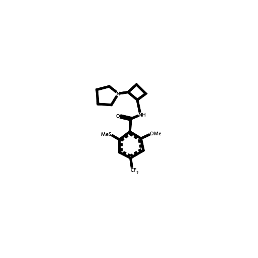 COc1cc(C(F)(F)F)cc(SC)c1C(=O)NC1CCC1N1CCCC1